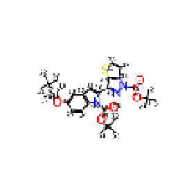 CC(C)(C)OC(=O)n1nc(-c2cc3cc(O[Si](C)(C)C(C)(C)C)ccc3n2C(=O)OC(C)(C)C)c2sccc21